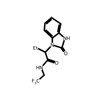 CCC(C(=O)NCC(F)(F)F)n1c(=O)[nH]c2ccccc21